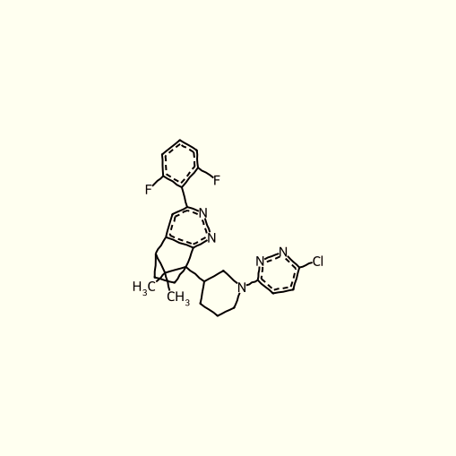 CC1(C)C2CCC1(C1CCCN(c3ccc(Cl)nn3)C1)c1nnc(-c3c(F)cccc3F)cc12